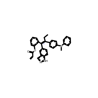 C=CC(=O)Oc1ccccc1/C(=C(\CC)c1ccc(N(C)c2ccccc2)cc1)c1ccc2[nH]ncc2c1